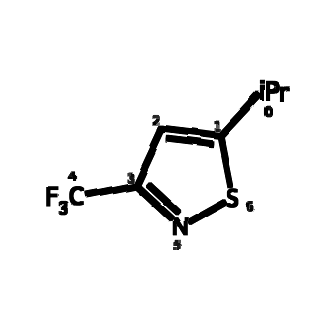 CC(C)c1cc(C(F)(F)F)ns1